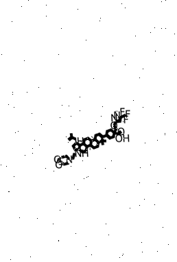 C=C(C)C[C@@H]1CC[C@]2(NCCN3CCS(=O)(=O)CC3)CCC3[C@H](CCC4[C@@]3(C)CCC3C(C)(C)C(C5=CCC(COc6cc(C(F)(F)F)n(C)n6)(C(=O)O)CC5)=CC[C@@]34C)C12